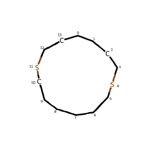 C1CCCSCCCCCCSCC1